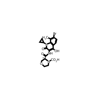 Cc1c(Br)ccc2c(O)c(NC(=O)[C@@H]3COCCN3C(=O)O)c(=O)n(C3CC3)c12